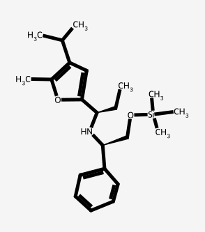 CC[C@@H](N[C@@H](CO[Si](C)(C)C)c1ccccc1)c1cc(C(C)C)c(C)o1